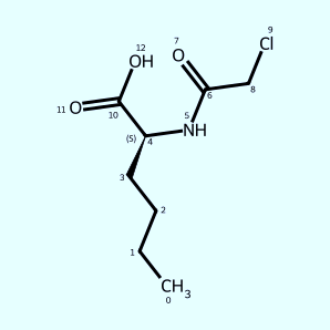 CCCC[C@H](NC(=O)CCl)C(=O)O